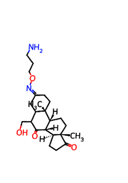 C[C@]12CCC(=NOCCCN)CC1C(CO)C(=O)[C@@H]1[C@H]2CC[C@]2(C)C(=O)CC[C@@H]12